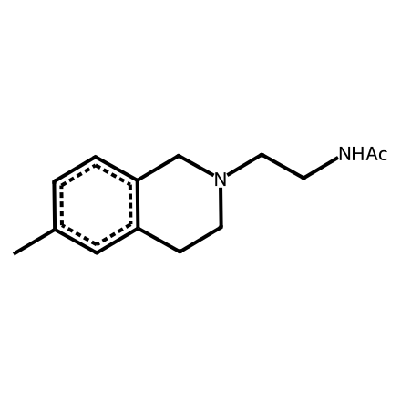 CC(=O)NCCN1CCc2cc(C)ccc2C1